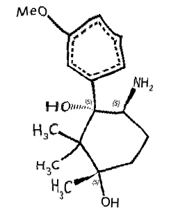 COc1cccc([C@@]2(O)[C@@H](N)CC[C@](C)(O)C2(C)C)c1